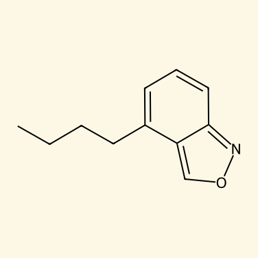 CCCCc1cccc2nocc12